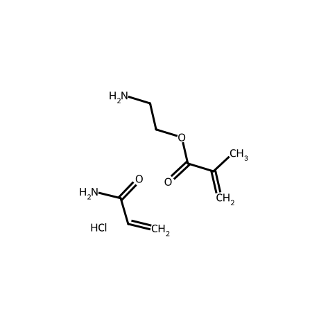 C=C(C)C(=O)OCCN.C=CC(N)=O.Cl